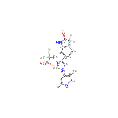 Cc1cc(-n2cnc(-c3ccc4c(c3)NC(=O)C4(C)C)c2)c(F)cn1.O=C(O)C(F)(F)F